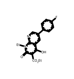 CCOC(=O)c1c(O)c2cc(-c3ccc(F)cc3)cnc2n(CC)c1=O